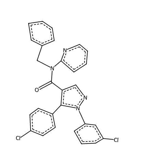 O=C(c1cnn(-c2cccc(Cl)c2)c1-c1ccc(Cl)cc1)N(Cc1ccccc1)c1ccccn1